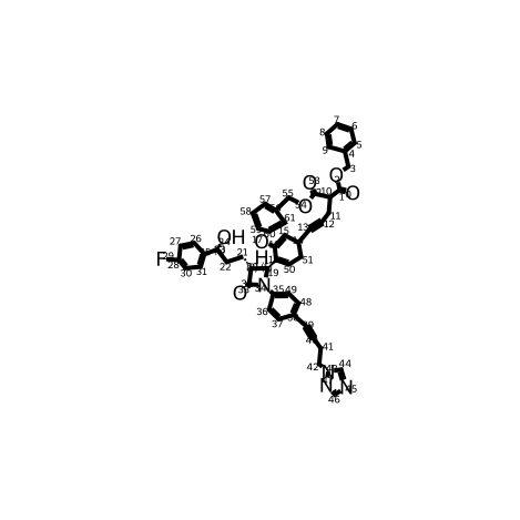 O=C(OCc1ccccc1)C(CC#CC1C=C(O)C([C@@H]2[C@@H](CC[C@H](O)c3ccc(F)cc3)C(=O)N2c2ccc(C#CCCn3cncn3)cc2)=CC1)C(=O)OCc1ccccc1